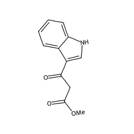 COC(=O)CC(=O)c1c[nH]c2ccccc12